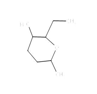 CCC1OC(C)CCC1C